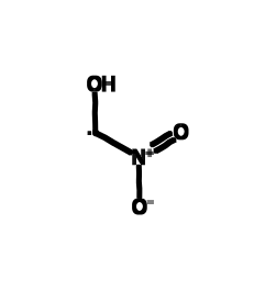 O=[N+]([O-])[CH]O